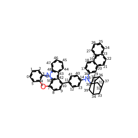 c1ccc2c(c1)Oc1ccc(-c3ccc(N(c4ccc5c(ccc6ccccc65)c4)C45CC6CC(CC(C6)C4)C5)cc3)c3c4ccccc4n-2c13